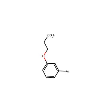 CC(=O)c1cccc(OCCC(=O)O)c1